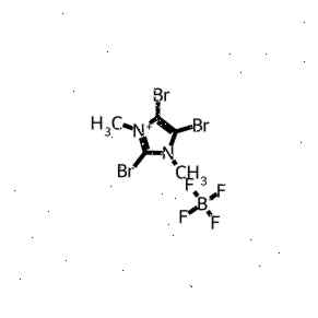 Cn1c(Br)c(Br)[n+](C)c1Br.F[B-](F)(F)F